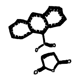 O=C1C=CC(=O)O1.O=[N+]([O-])c1c2ccccc2cc2ccccc12